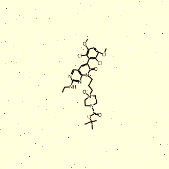 CCNc1ncc2cc(-c3c(Cl)c(OC)cc(OC)c3Cl)c(=O)n(CCC[N+]3([O-])CCN(C(=O)OC(C)(C)C)CC3)c2n1